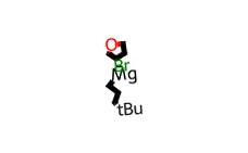 C1CCOC1.CC(C)(C)CC[CH2][Mg][Br]